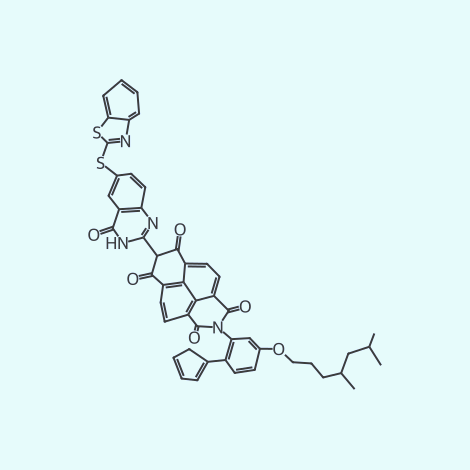 CC(C)CC(C)CCCOc1ccc(C2=CC=CC2)c(N2C(=O)c3ccc4c5c(ccc(c35)C2=O)C(=O)C(c2nc3ccc(Sc5nc6ccccc6s5)cc3c(=O)[nH]2)C4=O)c1